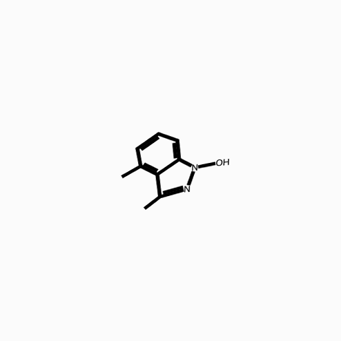 Cc1cccc2c1c(C)nn2O